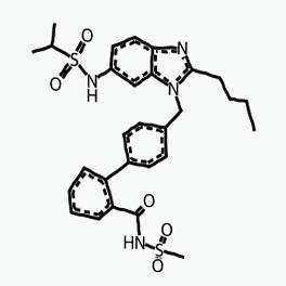 CCCCc1nc2ccc(NS(=O)(=O)C(C)C)cc2n1Cc1ccc(-c2ccccc2C(=O)NS(C)(=O)=O)cc1